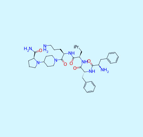 CC(C)C[C@@H](NC(=O)[C@@H](Cc1ccccc1)NC(=O)[C@H](N)Cc1ccccc1)C(=O)N[C@H](CCCN)C(=O)N1CCC(N2CCC[C@H]2C(N)=O)CC1